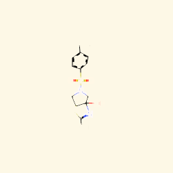 CC1=NC2(O)CN(S(=O)(=O)c3ccc(C)cc3)CC2S1